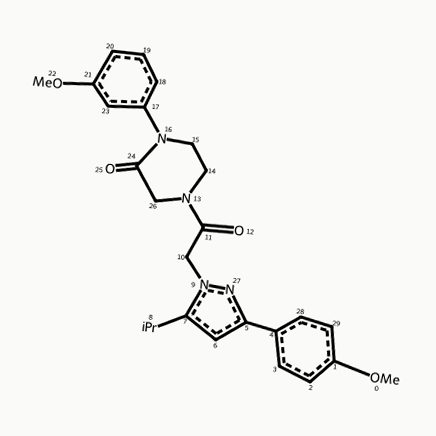 COc1ccc(-c2cc(C(C)C)n(CC(=O)N3CCN(c4cccc(OC)c4)C(=O)C3)n2)cc1